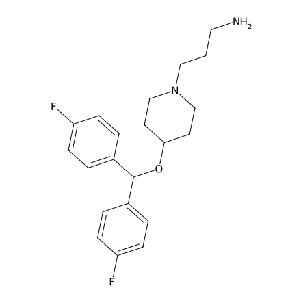 NCCCN1CCC(OC(c2ccc(F)cc2)c2ccc(F)cc2)CC1